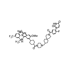 COc1cc2nc(C)nc(N[C@H](C)c3cc(N)cc(C(F)(F)F)c3)c2cc1C1CCC(C(=O)N2CCN(CC3CCC4(CC3)CCN(C(=O)c3ccc(F)c(-n5ccc(=O)[nH]c5=O)c3)CC4)CC2)CC1